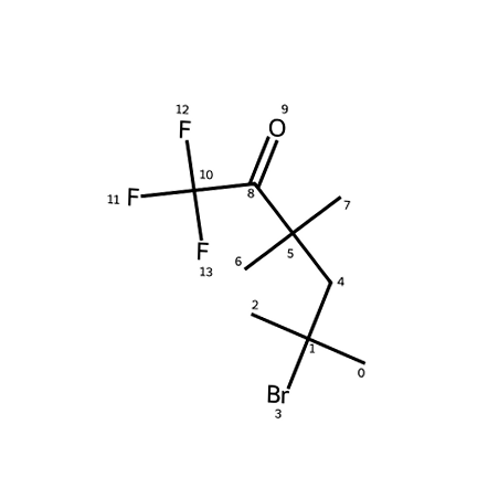 CC(C)(Br)CC(C)(C)C(=O)C(F)(F)F